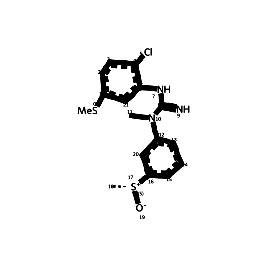 CSc1ccc(Cl)c(NC(=N)N(C)c2cccc([S@@+](C)[O-])c2)c1